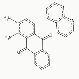 Nc1ccc2c(c1N)C(=O)c1ccccc1C2=O.c1ccc2ncccc2c1